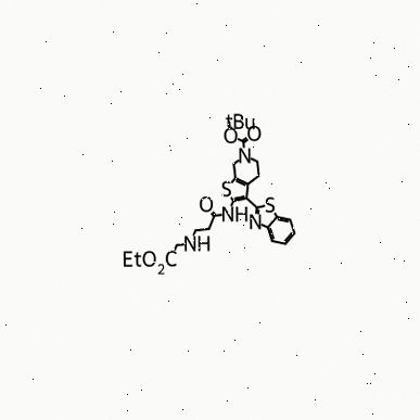 CCOC(=O)CNCCC(=O)Nc1sc2c(c1-c1nc3ccccc3s1)CCN(C(=O)OC(C)(C)C)C2